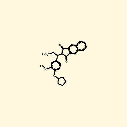 CCOc1cc(C(CC(=O)O)N2C(=O)c3cc4ccccc4cc3C2=O)ccc1OC1CCCC1